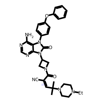 CCN1CCN(C(C)(C)/C=C(/C#N)C(=O)N2CC(n3c(=O)n(-c4ccc(Oc5ccccc5)cc4)c4c(N)ncnc43)C2)CC1